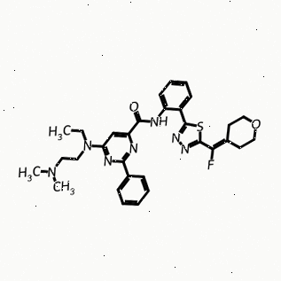 CCN(CCN(C)C)c1cc(C(=O)Nc2ccccc2-c2nnc(C(F)=C3CCOCC3)s2)nc(-c2ccccc2)n1